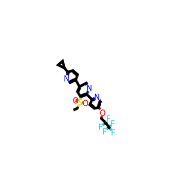 CCS(=O)(=O)c1cc(-c2ccc(C3CC3)nc2)cnc1-c1ccc(OCC(F)(F)C(F)(F)F)cn1